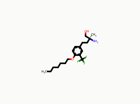 CCCCCCCOc1ccc(CC[C@](C)(N)CO)cc1C(F)(F)F